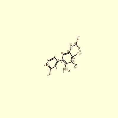 Nc1c(-c2ccnc(F)c2)cc(OC(F)F)c(F)c1Br